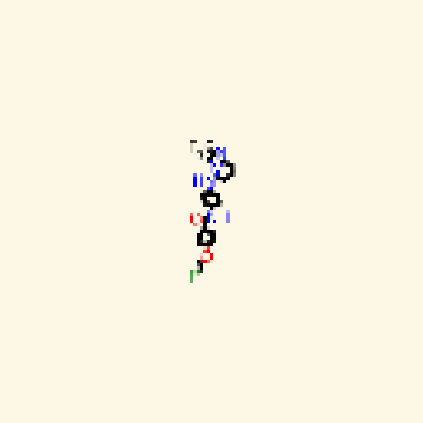 O=C(Nc1ccc(Nc2cccc3nc(C(F)(F)F)cn23)cc1)c1ccc(OCCF)cc1